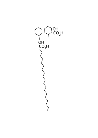 CC1CCCCC1.CC1CCCCC1.CCCCCCCCCCCCCCCCCCC.O=C(O)O.O=C(O)O